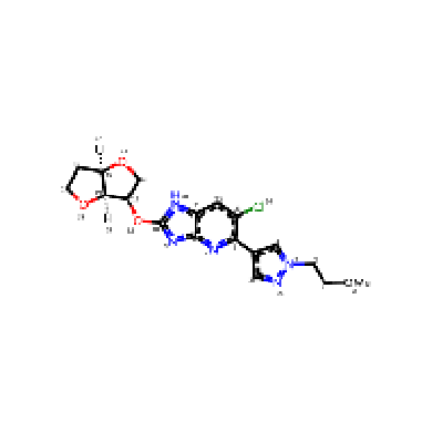 COCCn1cc(-c2nc3nc(O[C@@H]4CO[C@@H]5CCO[C@@H]54)[nH]c3cc2Cl)cn1